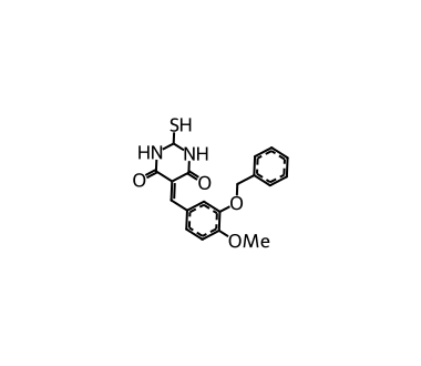 COc1ccc(C=C2C(=O)NC(S)NC2=O)cc1OCc1ccccc1